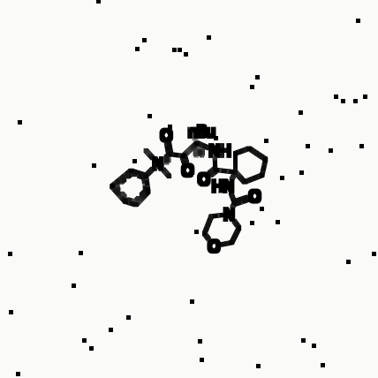 CCCC[C@H](NC(=O)C1(NC(=O)N2CCOCC2)CCCCC1)C(=O)C(=O)[N+](C)(C)c1ccccc1